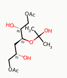 CC(=O)OC[C@@H](O)C[C@H](OC(C)(C)O)[C@H](O)COC(C)=O